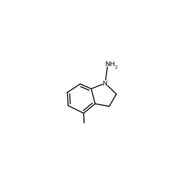 Cc1cccc2c1CCN2N